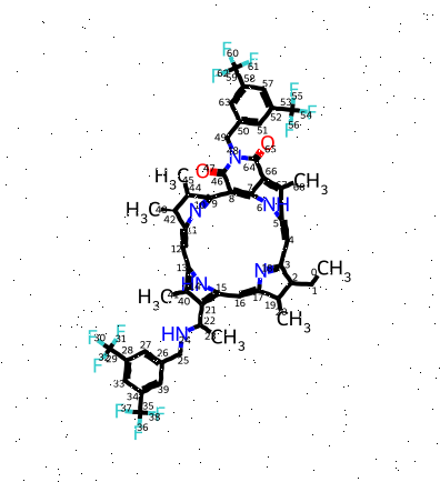 CCC1c2cc3[nH]c4c(c5nc(cc6[nH]c(cc(n2)C1C)c(C(C)NCc1cc(C(F)(F)F)cc(C(F)(F)F)c1)c6C)[C@@H](C)C5C)C(=O)N(Cc1cc(C(F)(F)F)cc(C(F)(F)F)c1)C(=O)c4c3C